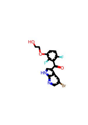 O=C(c1c(F)ccc(OCCO)c1F)c1c[nH]c2ncc(Br)cc12